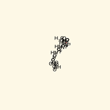 CN(c1ccccc1CNc1cc(Nc2ccc(CNC3CCN(c4ccc5c(c4)C(=O)N(C4CCC(=O)NC4=O)C5=O)CC3)c(F)c2)ncc1C(F)(F)F)S(C)(=O)=O